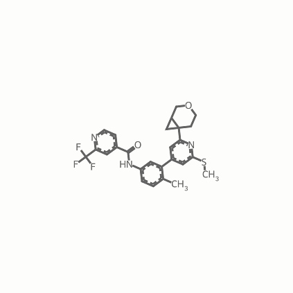 CSc1cc(-c2cc(NC(=O)c3ccnc(C(F)(F)F)c3)ccc2C)cc(C23CCOCC2C3)n1